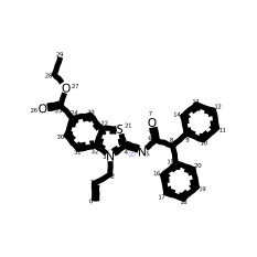 C=CCn1/c(=N/C(=O)C(c2ccccc2)c2ccccc2)sc2cc(C(=O)OCC)ccc21